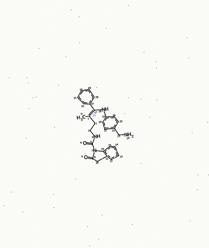 C/C(CCNC(=O)N1C(=O)Cc2ccccc21)=C(/Nc1ccc(CN)cc1)c1ccccc1